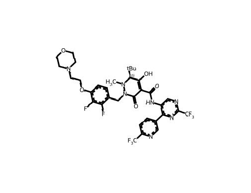 CN1[C@@H](C(C)(C)C)C(O)=C(C(=O)Nc2cnc(C(F)(F)F)nc2-c2ccc(C(F)(F)F)nc2)C(=O)N1Cc1ccc(OCCN2CCOCC2)c(F)c1F